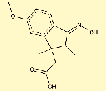 COc1ccc2c(c1)C(C)(CC(=O)O)C(C)C2=NO